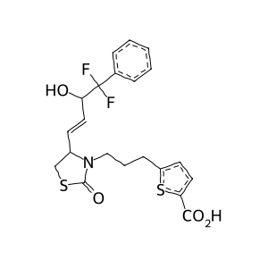 O=C(O)c1ccc(CCCN2C(=O)SCC2C=CC(O)C(F)(F)c2ccccc2)s1